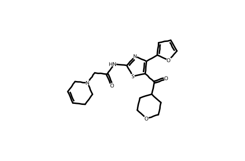 O=C(CN1CC=CCC1)Nc1nc(-c2ccco2)c(C(=O)C2CCOCC2)s1